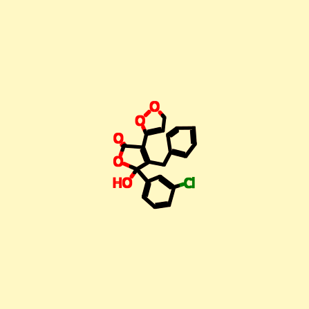 O=C1OC(O)(c2cccc(Cl)c2)C(Cc2ccccc2)=C1C1=CCOO1